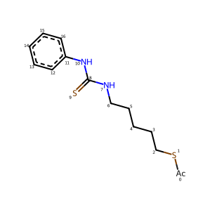 CC(=O)SCCCCCNC(=S)Nc1ccccc1